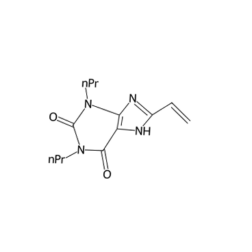 C=Cc1nc2c([nH]1)c(=O)n(CCC)c(=O)n2CCC